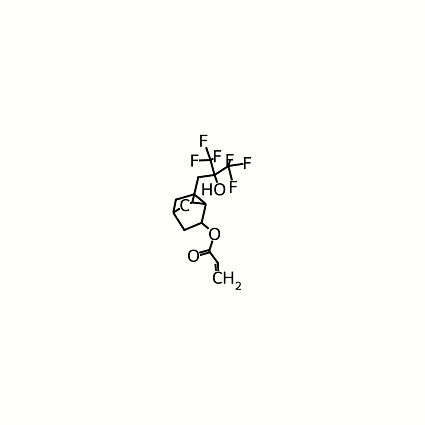 C=CC(=O)OC1CC2CCC1C(CC(O)(C(F)(F)F)C(F)(F)F)C2